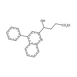 CCOC(=O)CCC(O)c1cc(-c2ccccc2)c2ccccc2n1